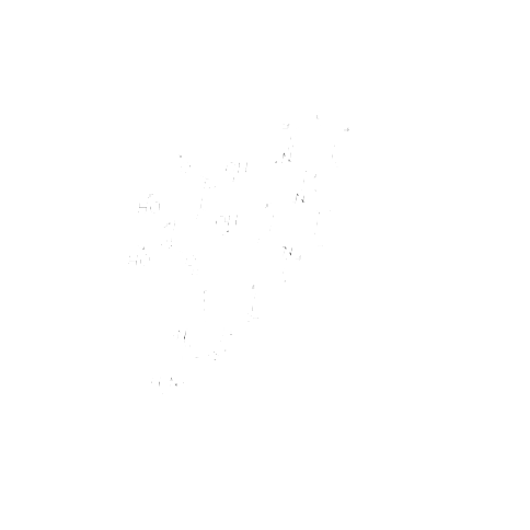 Cc1nc(N)sc1SCCN1CCN(c2ccccn2)CC1.O=C(O)C(O)C(O)C(=O)O